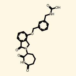 O=C(O)NCc1cccc(COc2cccc3c2CN(C2CCCC(=O)NC2=O)C3=O)c1